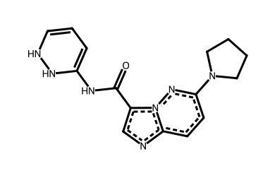 O=C(NC1=CC=CNN1)c1cnc2ccc(N3CCCC3)nn12